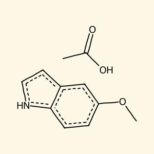 CC(=O)O.COc1ccc2[nH]ccc2c1